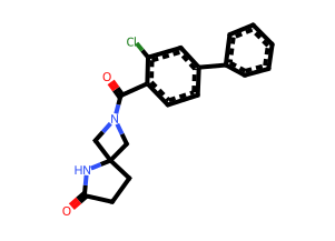 O=C1CCC2(CN(C(=O)c3ccc(-c4ccccc4)cc3Cl)C2)N1